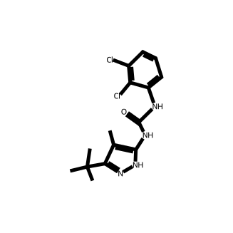 Cc1c(C(C)(C)C)n[nH]c1NC(=O)Nc1cccc(Cl)c1Cl